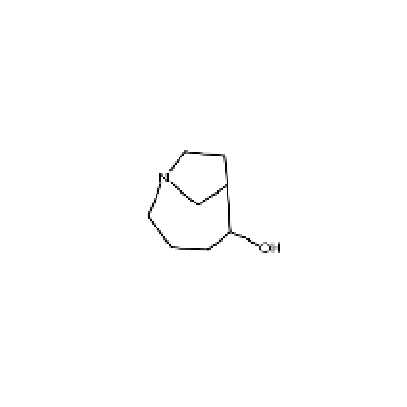 OC1CCCN2CCC1C2